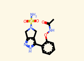 CC(=O)NOc1ccccc1-c1[nH]nc2c1CN(S(N)(=O)=O)C2